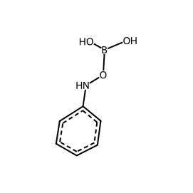 OB(O)ONc1ccccc1